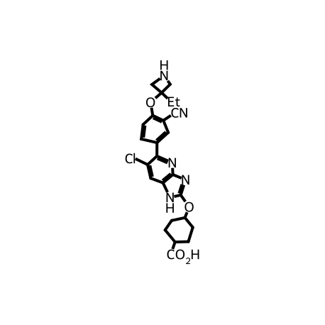 CCC1(Oc2ccc(-c3nc4nc(OC5CCC(C(=O)O)CC5)[nH]c4cc3Cl)cc2C#N)CNC1